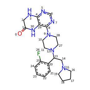 O=C1CNc2ncnc(N3CCN(C(CN4CCCC4)c4ccccc4F)CC3)c2N1